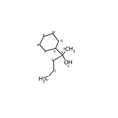 CCCC(C)(O)C1CCCCC1